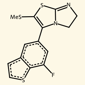 CSC1=C(c2cc(F)c3sccc3c2)N2CCN=C2S1